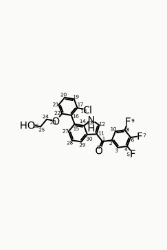 O=C(c1cc(F)c(F)c(F)c1)c1c[nH]c2c(-c3c(Cl)cccc3OCCO)cccc12